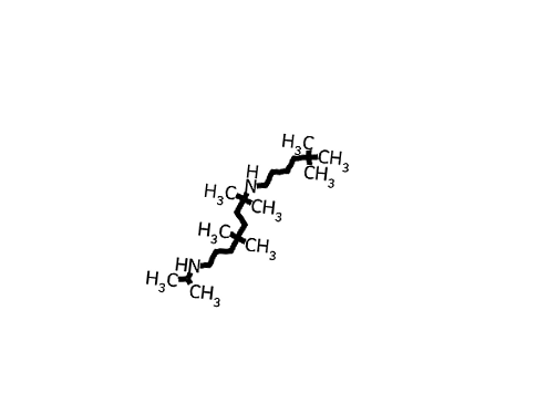 CC(C)NCCCC(C)(C)CCC(C)(C)NCCCCC(C)(C)C